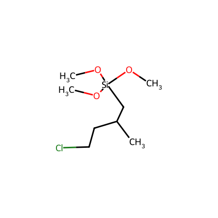 CO[Si](CC(C)CCCl)(OC)OC